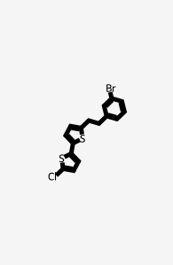 Clc1ccc(-c2ccc(CCc3cccc(Br)c3)s2)s1